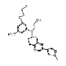 COc1cc(OCCF)cc(N(CCO)c2ccc3ncc(-c4cnn(C)c4)nc3c2)c1